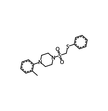 Cc1ccccc1N1CCN(S(=O)(=O)CSc2ccccc2)CC1